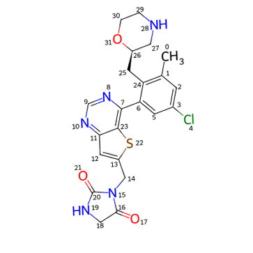 Cc1cc(Cl)cc(-c2ncnc3cc(CN4C(=O)CNC4=O)sc23)c1C[C@@H]1CNCCO1